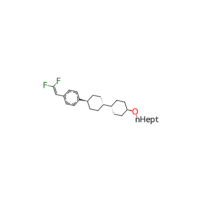 CCCCCCCO[C@H]1CC[C@H]([C@H]2CC[C@H](c3ccc(C=C(F)F)cc3)CC2)CC1